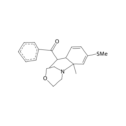 CSC1=CC(C)(N2CCOCC2)C(C(C)C(=O)c2ccccc2)C=C1